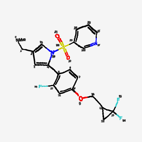 CNCc1cc(-c2ccc(OCC3CC3(F)F)cc2F)n(S(=O)(=O)c2cccnc2)c1